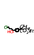 CCOC(=O)C(C)(C)c1ccc(C(O)CCCCl)cc1